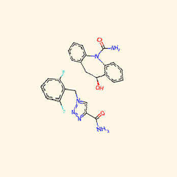 NC(=O)N1c2ccccc2C[C@H](O)c2ccccc21.NC(=O)c1cn(Cc2c(F)cccc2F)nn1